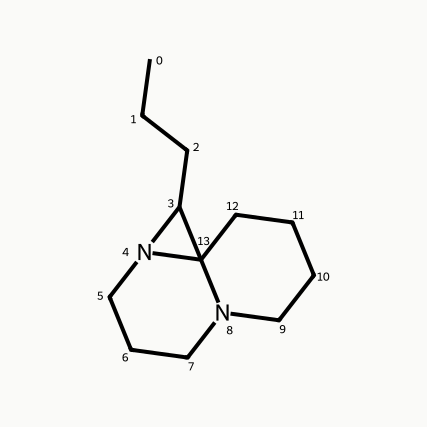 CCCC1N2CCCN3CCCCC132